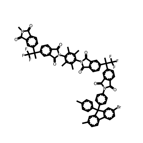 Cc1ccc(C2(c3ccc(N4C(=O)c5ccc(C(C)(c6ccc7c(c6)C(=O)N(c6c(C)c(C)c(N8C(=O)c9ccc(C(C)(c%10ccc%11c(c%10)C(=O)N(C)C%11=O)C(F)(F)F)cc9C8=O)c(C)c6C)C7=O)C(F)(F)F)cc5C4=O)cc3)c3cc(C)ccc3-c3ccc(Br)cc32)cc1